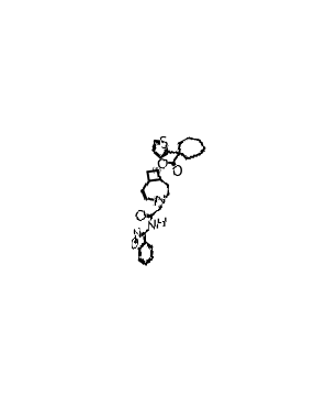 O=C(CN1CCC2C[C@H](OC(=O)C3(c4cccs4)CCCCCC3)C2CC1)Nc1noc2ccccc12